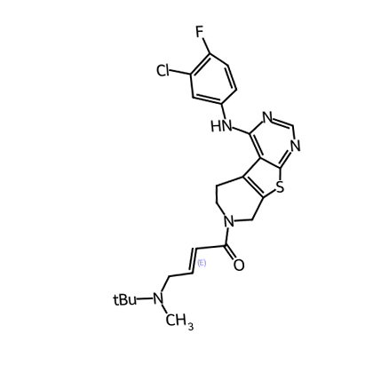 CN(C/C=C/C(=O)N1CCc2c(sc3ncnc(Nc4ccc(F)c(Cl)c4)c23)C1)C(C)(C)C